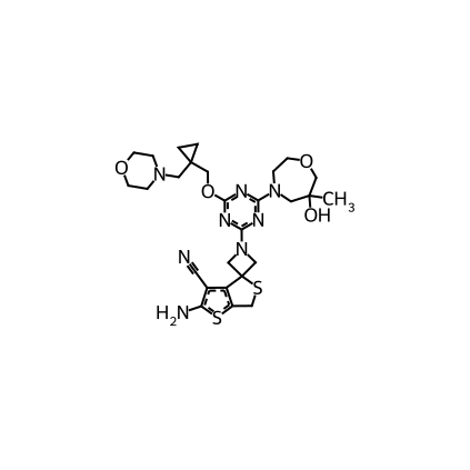 CC1(O)COCCN(c2nc(OCC3(CN4CCOCC4)CC3)nc(N3CC4(C3)SCc3sc(N)c(C#N)c34)n2)C1